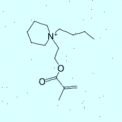 C=C(C)C(=O)OCC[N+]1(CCCC)CCCCC1